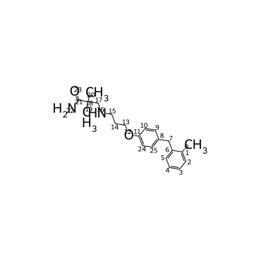 Cc1ccccc1Cc1ccc(OCCCNCC(C)(C)C(N)=O)cc1